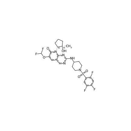 C[C@@]1(O)CCC[C@H]1n1c(=O)c(OC(F)F)cc2cnc(NC3CCN(S(=O)(=O)c4cc(F)c(F)cc4F)CC3)nc21